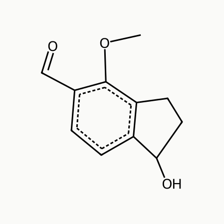 COc1c(C=O)ccc2c1CCC2O